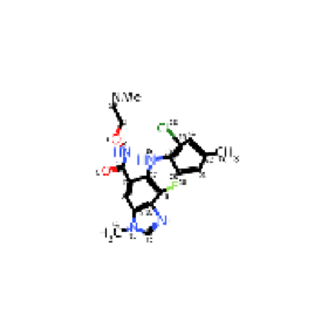 CNCCONC(=O)c1cc2c(ncn2C)c(F)c1Nc1ccc(C)cc1Cl